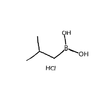 CC(C)CB(O)O.Cl